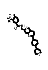 Cc1ccc(C(=O)NCc2cc3nc(-c4ccc(-c5ccncc5)cc4)ccc3cn2)cc1S(C)(=O)=O